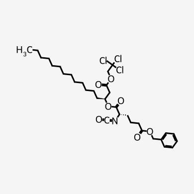 CCCCCCCCCCCCC[C@@H](CC(=O)OCC(Cl)(Cl)Cl)OC(=O)[C@H](CCCC(=O)OCc1ccccc1)N=C=O